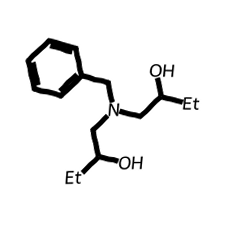 CCC(O)CN(Cc1ccccc1)CC(O)CC